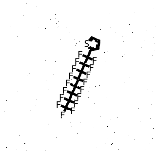 FC(F)(F)C(F)(F)C(F)(F)C(F)(F)C(F)(F)C(F)(F)C(F)(F)C(F)(F)c1cccs1